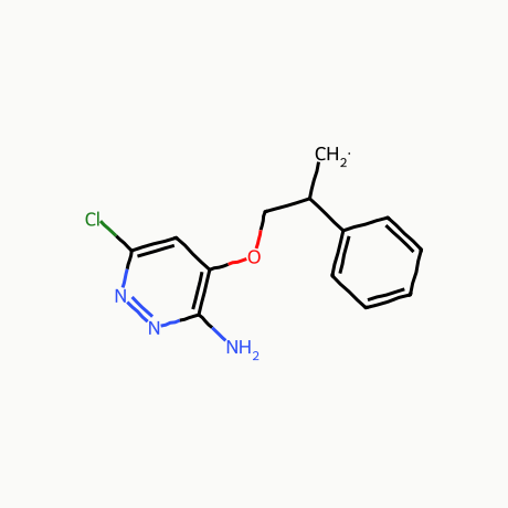 [CH2]C(COc1cc(Cl)nnc1N)c1ccccc1